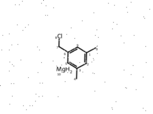 Cc1cc(C)cc(CCl)c1.[MgH2]